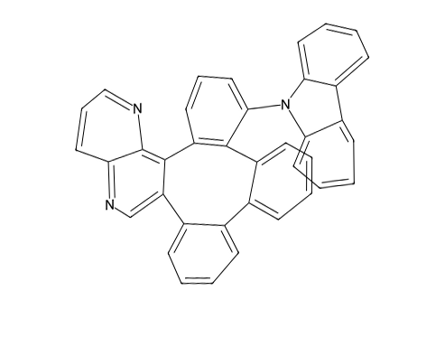 c1ccc2c(c1)-c1ccccc1-c1c(cccc1-n1c3ccccc3c3ccccc31)-c1c-2cnc2cccnc12